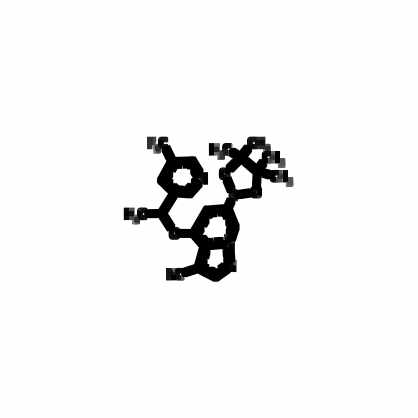 CC(Oc1cc(B2OC(C)(C)C(C)(C)O2)cn2ncc(C#N)c12)c1cncc(C(F)(F)F)c1